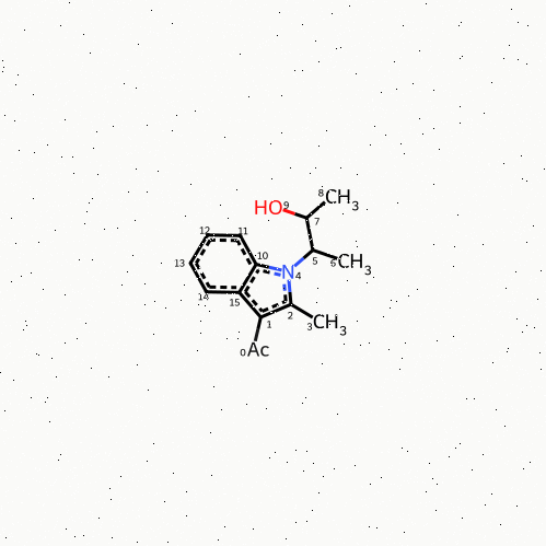 CC(=O)c1c(C)n(C(C)C(C)O)c2ccccc12